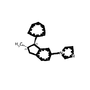 C[C@H]1Cc2ccc(-n3ccnc3)cc2[C@@H]1c1ccccc1